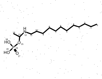 CCCCCCCCCCCCNC(C)OP(=O)(O)O